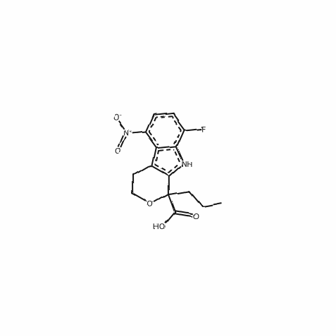 CCCC1(C(=O)O)OCCc2c1[nH]c1c(F)ccc([N+](=O)[O-])c21